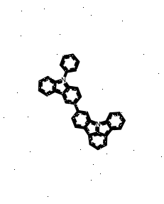 c1ccc(-n2c3ccccc3c3cc(-c4ccc5c6cccc7c8ccccc8n(c5c4)c76)ccc32)cc1